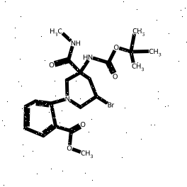 CNC(=O)C1(NC(=O)OC(C)(C)C)CC(Br)CN(c2ccccc2C(=O)OC)C1